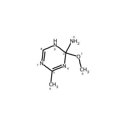 COC1(N)N=C(C)N=CN1